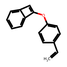 C=Cc1ccc(OC2=Cc3ccccc32)cc1